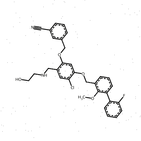 COc1c(COc2cc(OCc3cccc(C#N)c3)c(CNCCO)cc2Cl)cccc1-c1ccccc1F